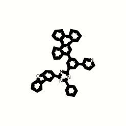 c1ccc(-c2nc(-c3cc(-c4cccnc4)cc(-c4cc5c6ccccc6c6ccccc6c5c5ccccc45)c3)nc(-c3ccc4oc5ccccc5c4c3)n2)cc1